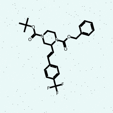 CC(C)(C)OC(=O)N1CCN(C(=O)OCc2ccccc2)C(/C=C/c2ccc(C(F)(F)F)cc2)C1